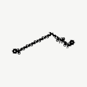 CC(CCCOCC(=O)NCC(=O)NCC(=O)NC(C)Cc1ccccc1)CCOCCOCCOCCOCCOCCOCCOCCNC(=O)C1CCCCC1